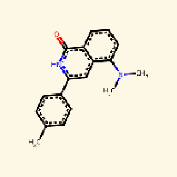 Cc1ccc(-c2cc3c(N(C)C)cccc3c(=O)[nH]2)cc1